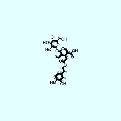 CC=C1C(O[C@@H]2O[C@H](CO)[C@@H](O)[C@H](O)[C@H]2O)OC=C(C(=O)O)C1CC(=O)OCCc1ccc(O)c(O)c1